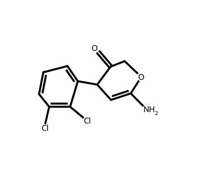 NC1=CC(c2cccc(Cl)c2Cl)C(=O)CO1